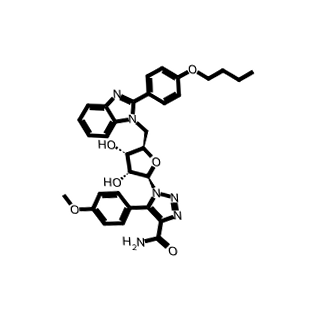 CCCCOc1ccc(-c2nc3ccccc3n2C[C@H]2O[C@@H](n3nnc(C(N)=O)c3-c3ccc(OC)cc3)[C@H](O)[C@@H]2O)cc1